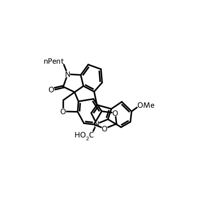 CCCCCN1C(=O)C2(COc3cc4c(cc32)OCO4)c2c(-c3cn(C(=O)O)c4ccc(OC)cc34)cccc21